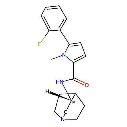 Cn1c(C(=O)N[C@H]2CN3CCC2CC3)ccc1-c1ccccc1F